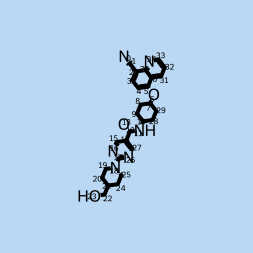 N#Cc1ccc(OC2CCC(NC(=O)c3cnc(N4CCC(CO)CC4)nc3)CC2)c2cccnc12